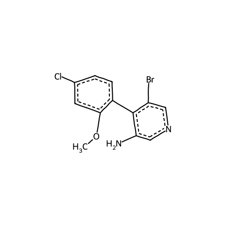 COc1cc(Cl)ccc1-c1c(N)cncc1Br